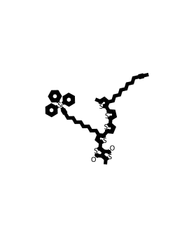 CC#CCCCCCCCCc1cc(C)sc1-c1ccc(-c2ccc(-c3sc(C4=C5C(=O)SC(C)=C5C(=O)S4)cc3CCCCCCCCC#C[Si](c3ccccc3)(c3ccccc3)c3ccccc3)s2)s1